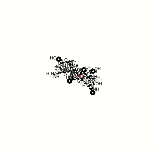 CC[C@H](C)[C@H](NC(=O)[C@H](Cc1ccc(O)cc1)NC(=O)[C@@H](N)CC(C)C)C(=O)N[C@@H](CCCNC(=N)N)C(=O)NCC(=O)N[C@@H](CCSC)C(=O)N[C@@H](CO)C(=O)N[C@@H](Cc1c[nH]c2ccccc12)C(=O)N[C@@H](CO)C(=O)NCC(=O)N[C@@H](Cc1c[nH]c2ccccc12)C(=O)N[C@@H](CO)C(=O)N[C@@H](C)C(=O)N[C@@H](Cc1ccc(O)cc1)C(=O)N[C@@H](CC(=O)O)C(=O)N[C@@H](Cc1ccc(O)cc1)C(=O)O